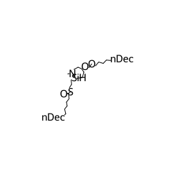 CCCCCCCCCCCCCCCOCOC1CCC[SiH](CCCSC(=O)CCCCCCCCCCCCCCC)N(C)CC1